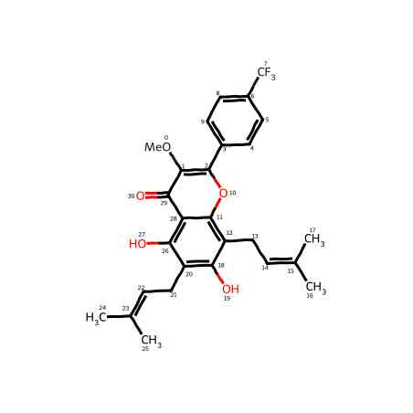 COc1c(-c2ccc(C(F)(F)F)cc2)oc2c(CC=C(C)C)c(O)c(CC=C(C)C)c(O)c2c1=O